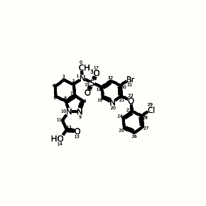 CN(C1CCCc2c1cnn2CC(=O)O)S(=O)(=O)c1cnc(Oc2ccccc2Cl)c(Br)c1